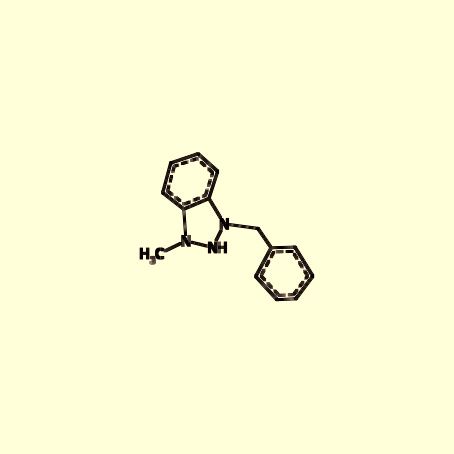 CN1NN(Cc2ccccc2)c2ccccc21